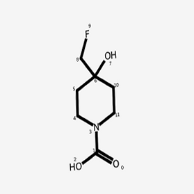 O=C(O)N1CCC(O)(CF)CC1